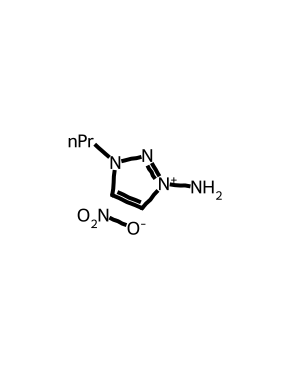 CCCn1cc[n+](N)n1.O=[N+]([O-])[O-]